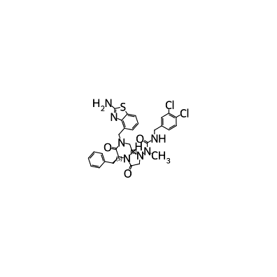 CN(C(=O)NCc1ccc(Cl)c(Cl)c1)N1CC(=O)N2[C@@H](Cc3ccccc3)C(=O)N(Cc3cccc4sc(N)nc34)C[C@@H]21